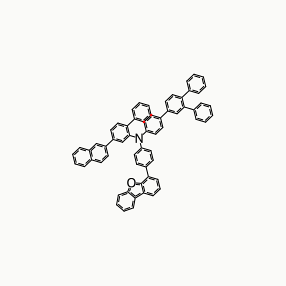 c1ccc(-c2ccc(-c3ccc(N(c4ccc(-c5cccc6c5oc5ccccc56)cc4)c4cc(-c5ccc6ccccc6c5)ccc4-c4ccccc4)cc3)cc2-c2ccccc2)cc1